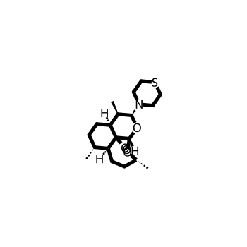 C[C@H]1[C@H](N2CCSCC2)O[C@@H]2O[C@]3(C)CC[C@H]4[C@H](C)CC[C@@H]1C24OO3